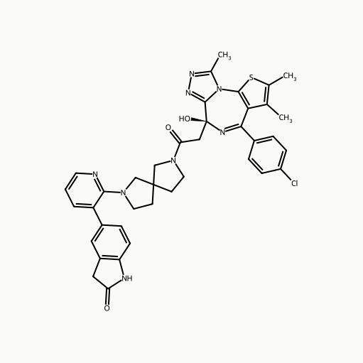 Cc1sc2c(c1C)C(c1ccc(Cl)cc1)=N[C@](O)(CC(=O)N1CCC3(CCN(c4ncccc4-c4ccc5c(c4)CC(=O)N5)C3)C1)c1nnc(C)n1-2